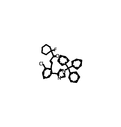 O=C(/C=C/c1c(Cl)cccc1-c1cn(C(c2ccccc2)(c2ccccc2)c2ccccc2)cn1)C1(F)CCCCC1